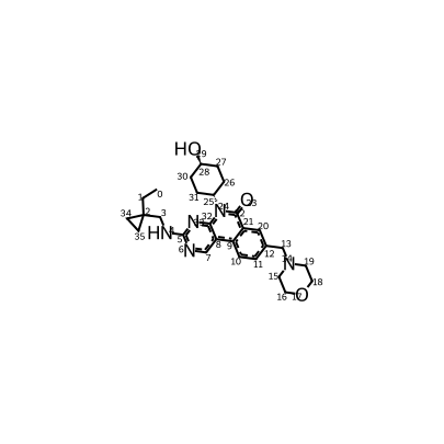 CCC1(CNc2ncc3c4ccc(CN5CCOCC5)cc4c(=O)n([C@H]4CC[C@H](O)CC4)c3n2)CC1